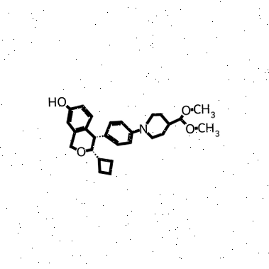 COC(OC)C1CCN(c2ccc([C@H]3c4ccc(O)cc4CO[C@H]3C3CCC3)cc2)CC1